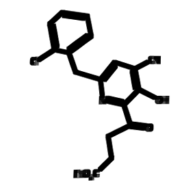 CCOC(=O)CCC(=O)c1nc(Cc2ccccc2Cl)cc(C#N)c1O